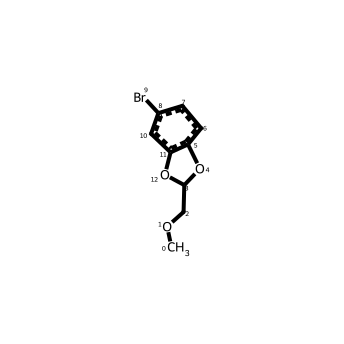 COCC1Oc2ccc(Br)cc2O1